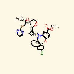 COC(=O)c1ccc2c(c1)N(C[C@@H]1CC[C@H]1[C@@H]1C[C@H](O[C@@H](C)CSc3ncccn3)CCO1)C[C@@]1(CCCc3cc(Cl)ccc31)CO2